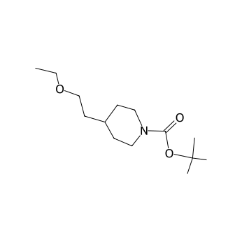 CCOCCC1CCN(C(=O)OC(C)(C)C)CC1